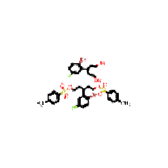 Cc1ccc(S(=O)(=O)OCCC(CCOS(=O)(=O)c2ccc(C)cc2)c2cc(F)ccc2Br)cc1.OCCC(CCO)c1cc(F)ccc1Br